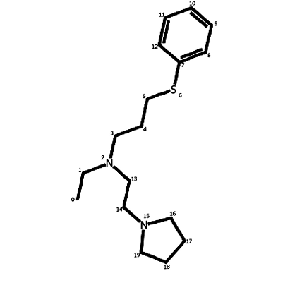 CCN(CCCSc1ccccc1)CCN1CCCC1